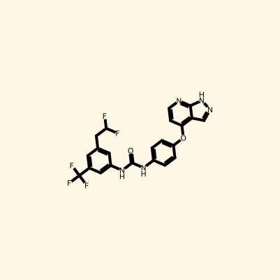 O=C(Nc1ccc(Oc2ccnc3[nH]ncc23)cc1)Nc1cc(CC(F)F)cc(C(F)(F)F)c1